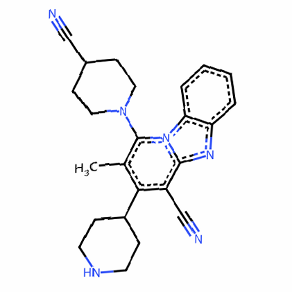 Cc1c(C2CCNCC2)c(C#N)c2nc3ccccc3n2c1N1CCC(C#N)CC1